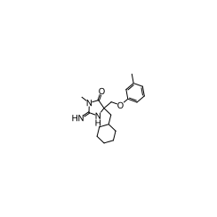 Cc1cccc(OCC2(CC3CCCCC3)NC(=N)N(C)C2=O)c1